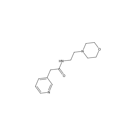 O=C(Cc1cccnc1)NCCN1CCOCC1